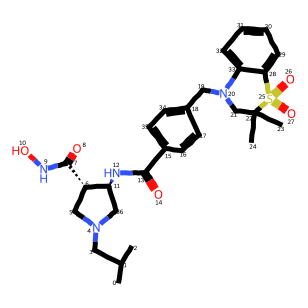 CC(C)CN1C[C@H](C(=O)NO)[C@H](NC(=O)c2ccc(CN3CC(C)(C)S(=O)(=O)c4ccccc43)cc2)C1